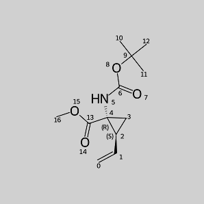 C=C[C@@H]1C[C@]1(NC(=O)OC(C)(C)C)C(=O)OC